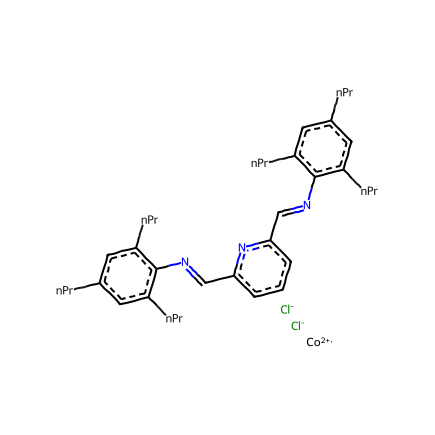 CCCc1cc(CCC)c(N=Cc2cccc(C=Nc3c(CCC)cc(CCC)cc3CCC)n2)c(CCC)c1.[Cl-].[Cl-].[Co+2]